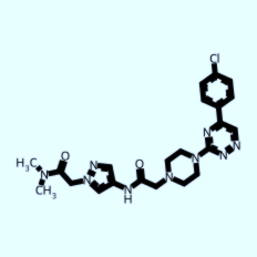 CN(C)C(=O)Cn1cc(NC(=O)CN2CCN(c3nncc(-c4ccc(Cl)cc4)n3)CC2)cn1